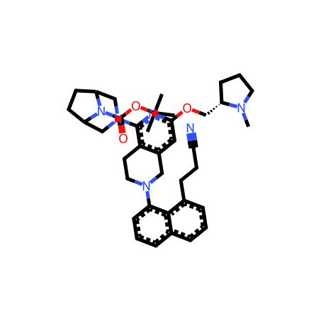 CN1CCC[C@H]1COc1cc2c(c(N3CC4CCC(C3)N4C(=O)OC(C)(C)C)n1)CCN(c1cccc3cccc(CCC#N)c13)C2